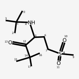 CC(C)(C)NC(CCS(C)(=O)=O)C(=O)C(C)(C)C